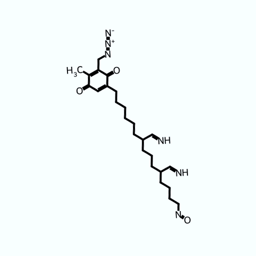 CC1=C(CN=[N+]=[N-])C(=O)C(CCCCCCC(C=N)CCCC(C=N)CCCCN=O)=CC1=O